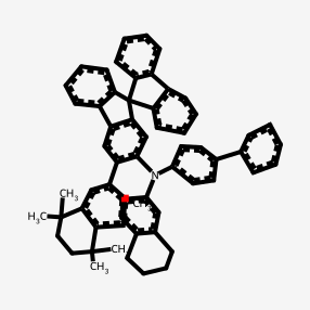 Cc1cc2c(cc1-c1cc3c(cc1N(c1ccc(-c4ccccc4)cc1)c1ccc4c(c1)CCCC4)C1(c4ccccc4-c4ccccc41)c1ccccc1-3)C(C)(C)CCC2(C)C